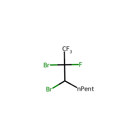 CCCCCC(Br)C(F)(Br)C(F)(F)F